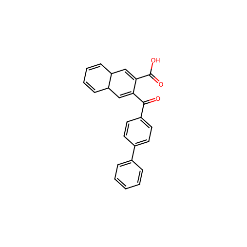 O=C(O)C1=CC2C=CC=CC2C=C1C(=O)c1ccc(-c2ccccc2)cc1